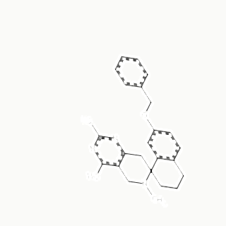 CN1Cc2c(O)nc(S)nc2CC12CCCc1ccc(OCc3ccccc3)cc12